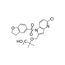 CC(C)(OCc1cc2nc(Cl)ccc2n1S(=O)(=O)c1ccc2c(c1)CCO2)C(=O)O